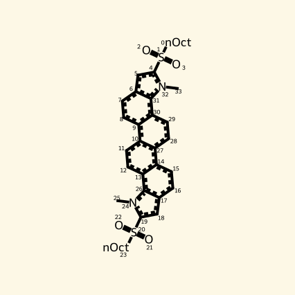 CCCCCCCCS(=O)(=O)c1cc2ccc3c4ccc5c(ccc6cc(S(=O)(=O)CCCCCCCC)n(C)c65)c4ccc3c2n1C